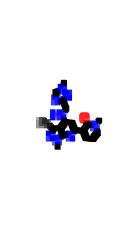 CC(C)c1nn(C)c2nc(-c3cccn(C)c3=O)cc(NCc3ncn(C)n3)c12